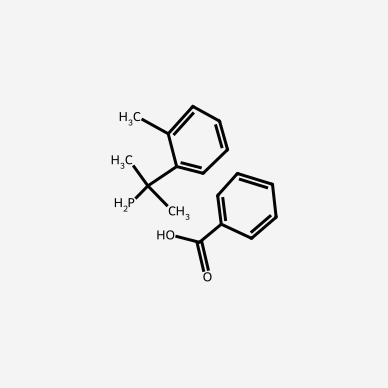 Cc1ccccc1C(C)(C)P.O=C(O)c1ccccc1